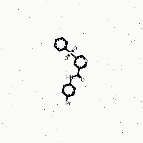 CC(C)c1ccc(NC(=O)c2cncc(S(=O)(=O)c3ccccc3)c2)cc1